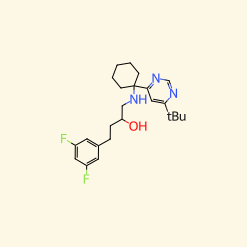 CC(C)(C)c1cc(C2(NCC(O)CCc3cc(F)cc(F)c3)CCCCC2)ncn1